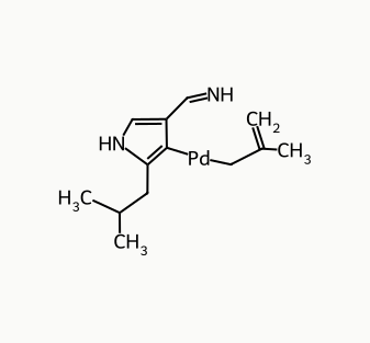 C=C(C)[CH2][Pd][c]1c(C=N)c[nH]c1CC(C)C